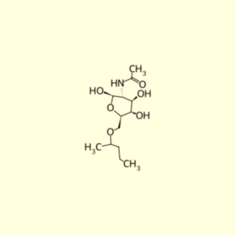 CCCC(C)OC[C@H]1O[C@@H](O)[C@H](NC(C)=O)[C@@H](O)[C@H]1O